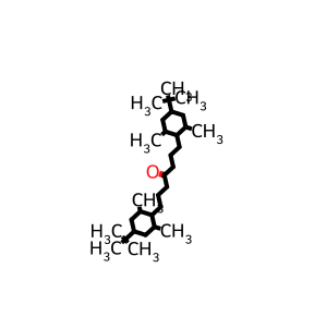 CC1CC(C(C)(C)C)CC(C)C1CCCC(=O)CCCC1C(C)CC(C(C)(C)C)CC1C